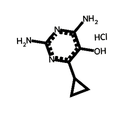 Cl.Nc1nc(N)c(O)c(C2CC2)n1